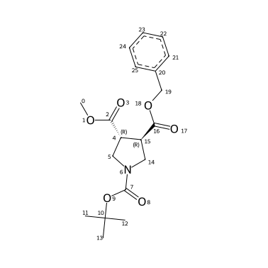 COC(=O)[C@H]1CN(C(=O)OC(C)(C)C)C[C@@H]1C(=O)OCc1ccccc1